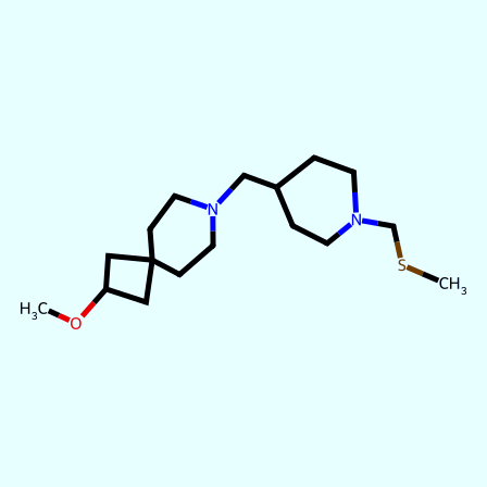 COC1CC2(CCN(CC3CCN(CSC)CC3)CC2)C1